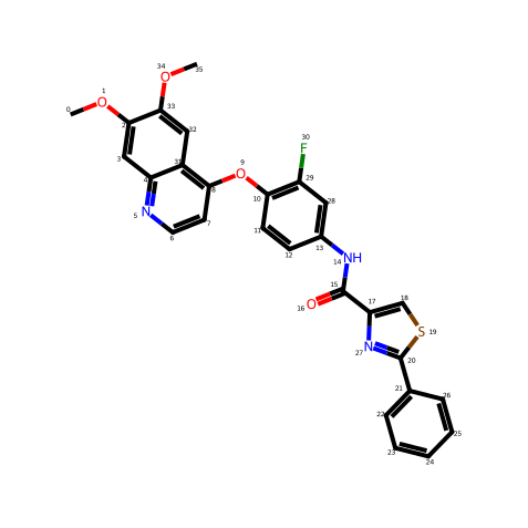 COc1cc2nccc(Oc3ccc(NC(=O)c4csc(-c5ccccc5)n4)cc3F)c2cc1OC